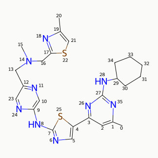 Cc1cc(-c2cnc(Nc3cnc(CN(C)Cc4nc(C)cs4)cn3)s2)nc(NC2CCCCC2)n1